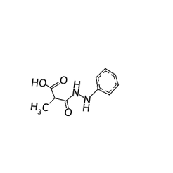 CC(C(=O)O)C(=O)NNc1ccccc1